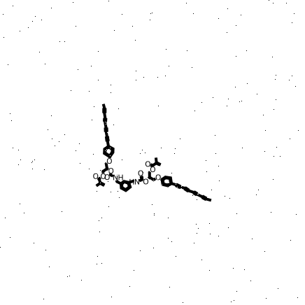 C=C(C)C(=O)OCC(COc1ccc(C#CC#CC#CC#CC)cc1)OC(=O)NCc1cccc(CNC(=O)OC(COC(=O)C(=C)C)COc2ccc(C#CC#CC#CC#CC)cc2)c1